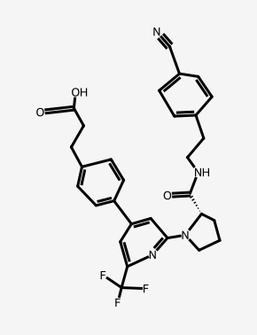 N#Cc1ccc(CCNC(=O)[C@@H]2CCCN2c2cc(-c3ccc(CCC(=O)O)cc3)cc(C(F)(F)F)n2)cc1